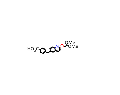 COC(COc1ccc2cc(Cc3ccc(C(=O)O)cc3)ccc2n1)OC